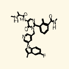 CNC(=O)c1cccc(-c2ncc(NC(=O)C(C)NC)c(=O)n2Cc2cncc(-n3cc(C)c4cc(F)ccc43)c2)c1C